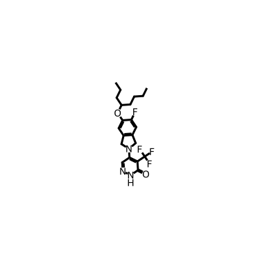 CCCCC(CCC)Oc1cc2c(cc1F)CN(c1cn[nH]c(=O)c1C(F)(F)F)C2